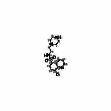 O=S(=O)(NCCN1CCNCC1)c1ccc(Cl)c2ncccc12